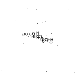 CCOC(=O)c1cccc(Nc2nc3cc(OS(=O)(=O)c4ccc(NC5CCCC5)cc4)ccc3[nH]2)c1